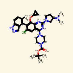 Cc1ccc2[nH]ncc2c1-c1c(Cl)cc2c(N3CCN(C(=O)OC(C)(C)C)CC3)nc(N3CCC(N(C)C)C3)nc2c1OC1CC1